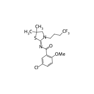 COc1ccc(Cl)cc1C(=O)N=C1SC(C)(C)CN1CCCC(F)(F)F